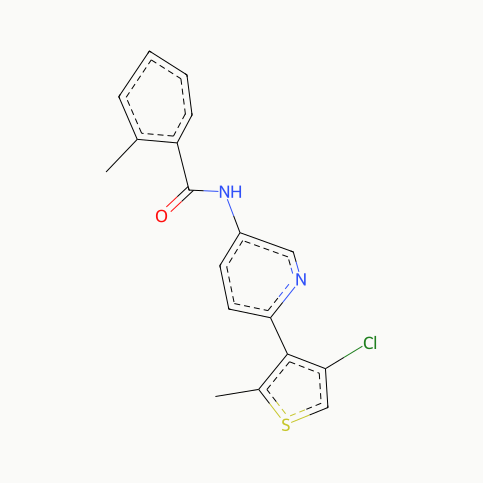 Cc1ccccc1C(=O)Nc1ccc(-c2c(Cl)csc2C)nc1